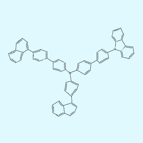 c1ccc2c(-c3ccc(-c4ccc(N(c5ccc(-c6ccc(-n7c8ccccc8c8ccccc87)cc6)cc5)c5ccc(-c6cccc7ccccc67)cc5)cc4)cc3)cccc2c1